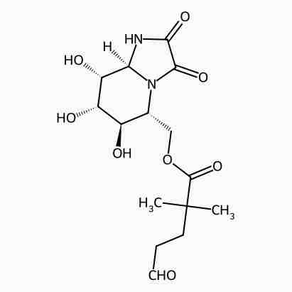 CC(C)(CCC=O)C(=O)OC[C@@H]1[C@@H](O)[C@H](O)[C@H](O)[C@H]2NC(=O)C(=O)N12